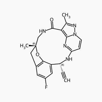 C#C[C@H]1Nc2ccn3nc(C)c(c3n2)C(=O)NC[C@@]2(C)Cc3cc(F)cc1c3O2